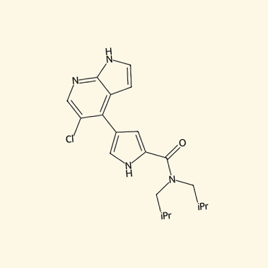 CC(C)CN(CC(C)C)C(=O)c1cc(-c2c(Cl)cnc3[nH]ccc23)c[nH]1